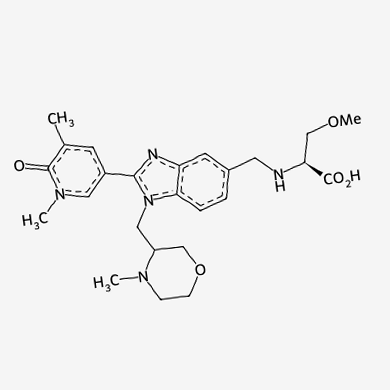 COC[C@H](NCc1ccc2c(c1)nc(-c1cc(C)c(=O)n(C)c1)n2CC1COCCN1C)C(=O)O